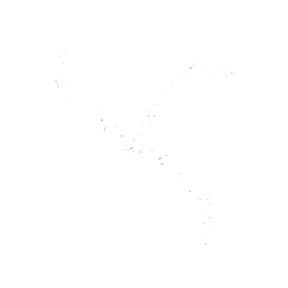 CCCCCC/C=C\CCCCCCCCOC(=O)CCOCC(COCCC(=O)OCCCCCCCC/C=C\CCCCCC)(COCCC(=O)OCCCCCCCC/C=C\CCCCCC)[N+](C)(C)C.[Cl-]